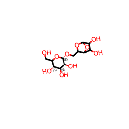 OCC1O[C@H](OCC2OC3OC2C(O)C3O)C(O)[C@@H](O)[C@@H]1O